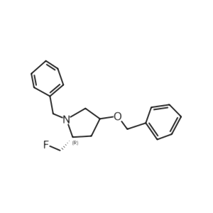 FC[C@H]1CC(OCc2ccccc2)CN1Cc1ccccc1